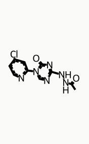 CC(=O)NNc1ncn(-c2cc(Cl)ccn2)c(=O)n1